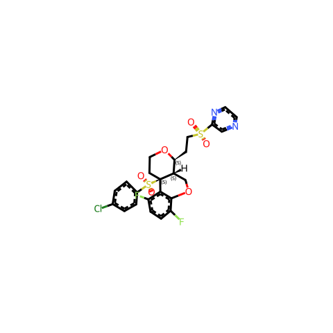 O=S(=O)(CC[C@@H]1OCC[C@@]2(S(=O)(=O)c3ccc(Cl)cc3)c3c(F)ccc(F)c3OC[C@@H]12)c1cnccn1